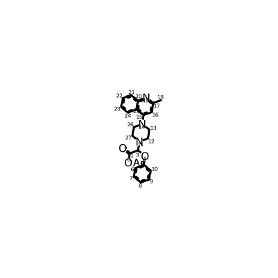 CC(=O)OC(=O)C(Oc1ccccc1)N1CCN(c2cc(C)nc3ccccc23)CC1